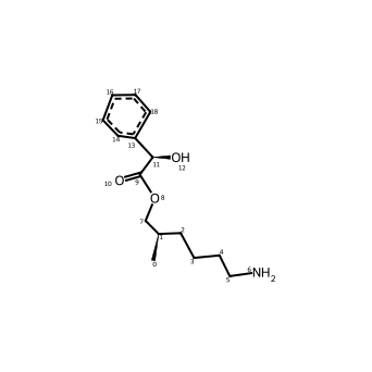 C[C@H](CCCCN)COC(=O)[C@H](O)c1ccccc1